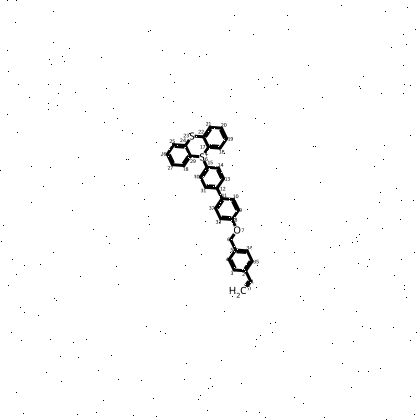 C=Cc1ccc(COc2ccc(-c3ccc([S+]4c5ccccc5Sc5ccccc54)cc3)cc2)cc1